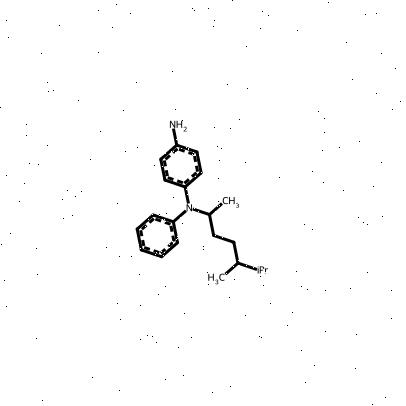 CC(C)C(C)CCC(C)N(c1ccccc1)c1ccc(N)cc1